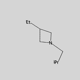 CCC1CN(CC(C)C)C1